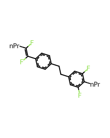 CCCC(F)=C(F)c1ccc(CCc2cc(F)c(CCC)c(F)c2)cc1